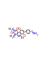 CCc1nc2c(c3c1C(=O)C(c1ccc(SN)cc1)=CC3=O)c(=O)n(C)c(=O)n2C